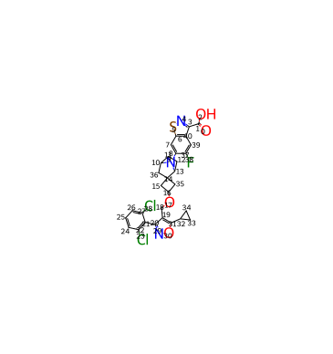 O=C(O)c1nsc2cc(N3C4CCC3C3(CC(OCc5c(-c6c(Cl)cccc6Cl)noc5C5CC5)C3)C4)c(F)cc12